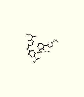 CCC(=O)c1cnc(Nc2ccc(C(CC)NC)cn2)cc1Nc1cccc(-c2ncn(C)n2)c1OC